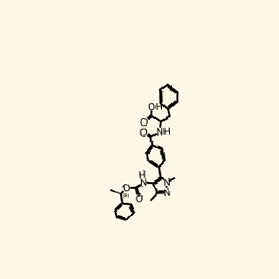 Cc1nn(C)c(-c2ccc(C(=O)NC(Cc3ccccc3)C(=O)O)cc2)c1NC(=O)O[C@H](C)c1ccccc1